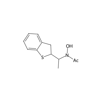 CC(=O)N(O)C(C)C1Cc2ccccc2S1